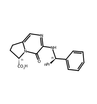 CCC[C@@H](Nc1ncc2n(c1=O)[C@H](C(=O)O)CC2)c1ccccc1